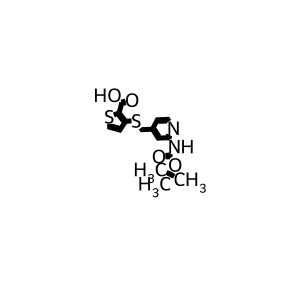 CC(C)(C)OC(=O)Nc1cc(CSc2ccsc2C(=O)O)ccn1